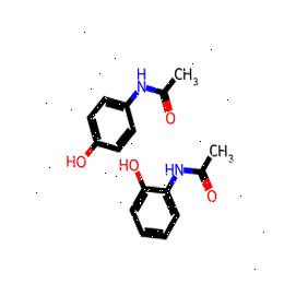 CC(=O)Nc1ccc(O)cc1.CC(=O)Nc1ccccc1O